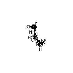 O=C(NCc1cc(F)cc(Cl)c1)O[C@]1(O)CCN(c2cnc3[nH]cc(C(F)(F)F)c3c2)C1=O